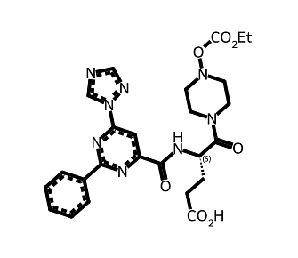 CCOC(=O)ON1CCN(C(=O)[C@H](CCC(=O)O)NC(=O)c2cc(-n3cncn3)nc(-c3ccccc3)n2)CC1